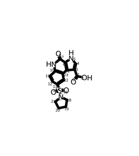 O=C(O)c1c[nH]c2c(=O)[nH]c3ccc(S(=O)(=O)N4CCCC4)cc3c12